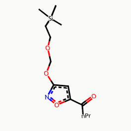 CCCC(=O)c1cc(OCOCC[Si](C)(C)C)no1